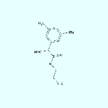 COC(C(=O)NCCN)c1cc(C)cc(C(C)(C)C)c1